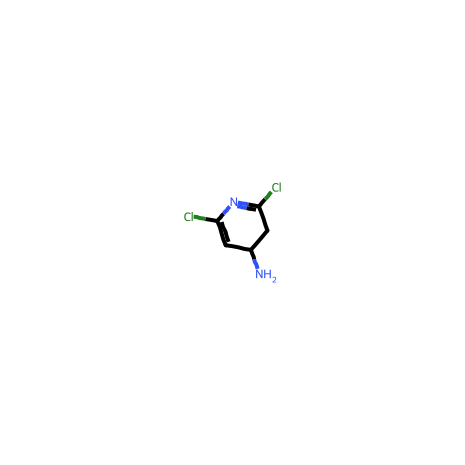 NC1C=C(Cl)N=C(Cl)C1